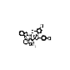 BC1CCCC(n2nnc3ccccc32)N1NC(=O)C1=NN(c2ccc(Cl)cc2Cl)C(c2ccc(Cl)cc2)C1